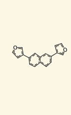 c1cc(-c2ccc3ccc(-c4ccoc4)cc3c2)co1